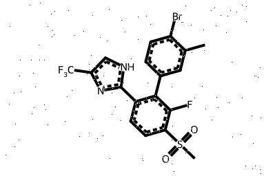 Cc1cc(-c2c(-c3nc(C(F)(F)F)c[nH]3)ccc(S(C)(=O)=O)c2F)ccc1Br